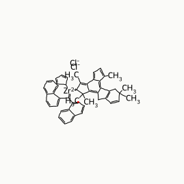 CC1=CC=c2c1c1c(c3c2=C(C)[CH]([Zr+2](=[C](c2cccc4ccccc24)c2cccc4ccccc24)[CH]2C=CC=C2)C3(C)C)CC2=C1CC(C)(C)C=C2.[Cl-].[Cl-]